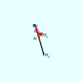 CCCCCCCCCCCCCCCCCCOCC(COC(=O)OCC[n+]1ccsc1)OC(=O)OC.[Br-]